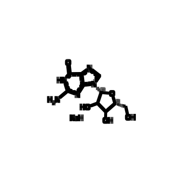 Nc1nc2c(ncn2[C@@H]2O[C@H](CO)C(O)C2O)c(=O)[nH]1.[NaH]